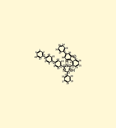 c1ccc(-c2ccc(-c3ccc(C4=NC(c5ccccc5)NC(c5cccc6oc7cc(-c8ccccc8)ccc7c56)N4)cc3)cc2)cc1